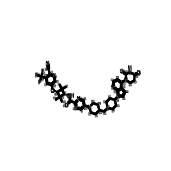 CC1(C)[C@H](NC(=O)c2ncc(N3CCC(CN4CCC(n5ccc6c(N7CCC(=O)NC7=O)ccnc65)CC4)CC3)cn2)C(C)(C)[C@H]1Oc1cnc(C#N)c(C(F)(F)F)c1